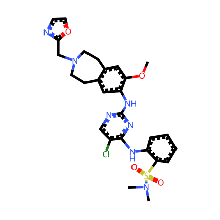 COc1cc2c(cc1Nc1ncc(Cl)c(Nc3ccccc3S(=O)(=O)N(C)C)n1)CCN(Cc1ncco1)CC2